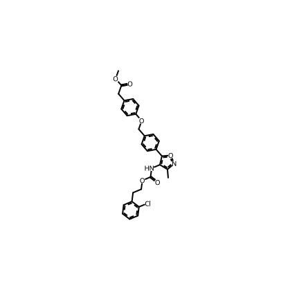 COC(=O)Cc1ccc(OCc2ccc(-c3onc(C)c3NC(=O)OCCc3ccccc3Cl)cc2)cc1